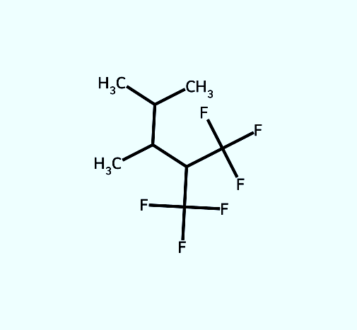 CC(C)C(C)C(C(F)(F)F)C(F)(F)F